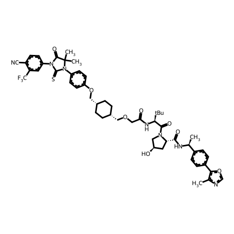 Cc1ncoc1-c1ccc([C@H](C)NC(=O)[C@@H]2C[C@@H](O)CN2C(=O)[C@@H](NC(=O)COC[C@H]2CC[C@@H](COc3ccc(N4C(=S)N(c5ccc(C#N)c(C(F)(F)F)c5)C(=O)C4(C)C)cc3)CC2)C(C)(C)C)cc1